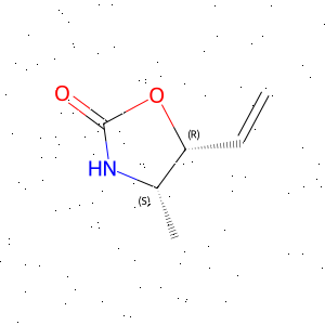 C=C[C@H]1OC(=O)N[C@H]1C